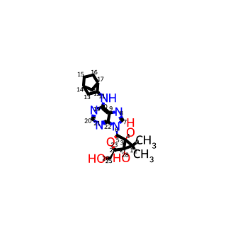 CC1(C)[C@]2(O)[C@H](n3cnc4c(NC5CC6CCC5C6)ncnc43)O[C@H](CO)[C@]12O